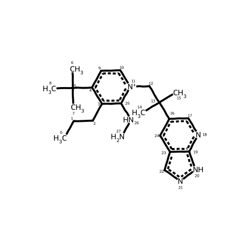 CCCc1c(C(C)(C)C)cc[n+](CC(C)(C)c2cnc3[nH]ncc3c2)c1NN